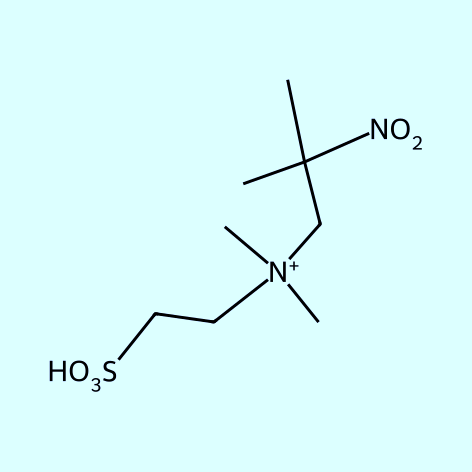 CC(C)(C[N+](C)(C)CCS(=O)(=O)O)[N+](=O)[O-]